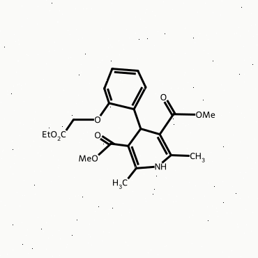 CCOC(=O)COc1ccccc1C1C(C(=O)OC)=C(C)NC(C)=C1C(=O)OC